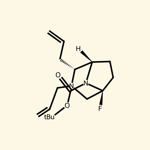 C=CC[C@@H]1[C@@H]2CC[C@](F)(CN1CC=C)N2C(=O)OC(C)(C)C